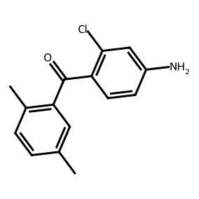 Cc1ccc(C)c(C(=O)c2ccc(N)cc2Cl)c1